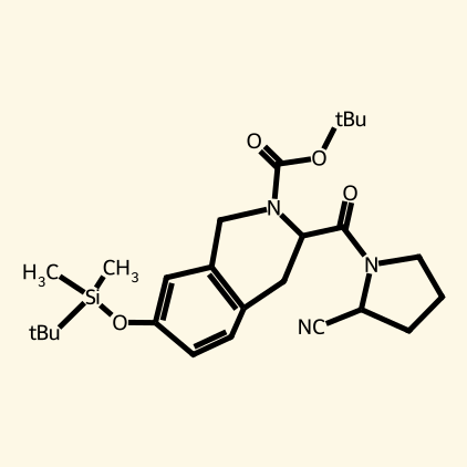 CC(C)(C)OC(=O)N1Cc2cc(O[Si](C)(C)C(C)(C)C)ccc2CC1C(=O)N1CCCC1C#N